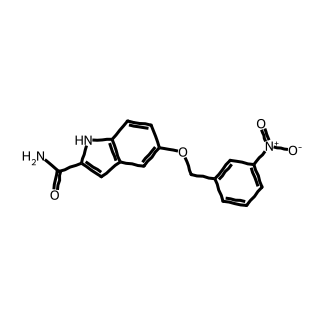 NC(=O)c1cc2cc(OCc3cccc([N+](=O)[O-])c3)ccc2[nH]1